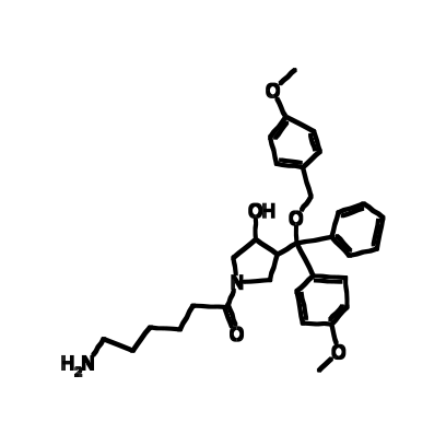 COc1ccc(COC(c2ccccc2)(c2ccc(OC)cc2)C2CN(C(=O)CCCCCN)CC2O)cc1